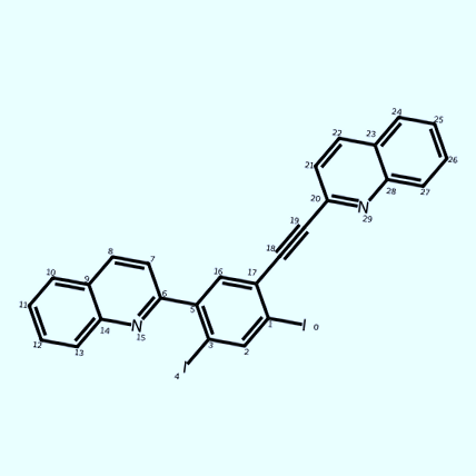 Ic1cc(I)c(-c2ccc3ccccc3n2)cc1C#Cc1ccc2ccccc2n1